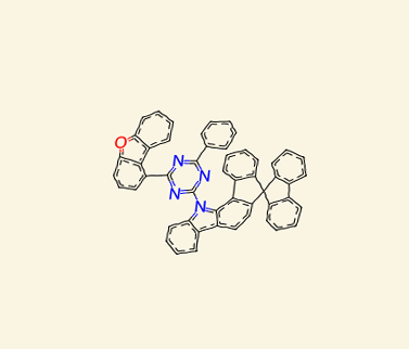 c1ccc(-c2nc(-c3cccc4oc5ccccc5c34)nc(-n3c4ccccc4c4ccc5c(c43)-c3ccccc3C53c4ccccc4-c4ccccc43)n2)cc1